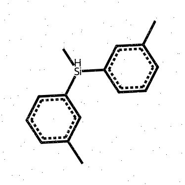 Cc1cccc([SiH](C)c2cccc(C)c2)c1